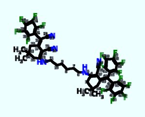 CC1(C)CC(NCCCCCCNC2=C(C#N)/C(=C(\C#N)c3c(F)c(F)c(F)c(F)c3F)CC(C)(C)C2)=C(C#N)C(=C(c2c(F)c(F)c(F)c(F)c2F)c2c(F)c(F)c(F)c(F)c2F)C1